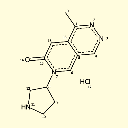 Cc1nncc2cn(C3CCNC3)c(=O)cc12.Cl